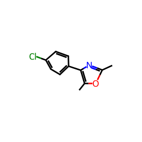 Cc1nc(-c2ccc(Cl)cc2)c(C)o1